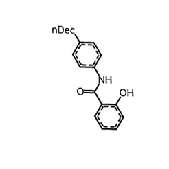 CCCCCCCCCCc1ccc(NC(=O)c2ccccc2O)cc1